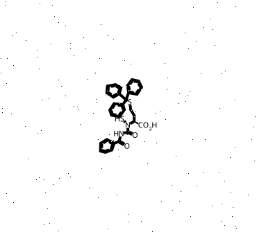 O=C(NC(=O)N(S)[C@@H](CCSC(c1ccccc1)(c1ccccc1)c1ccccc1)C(=O)O)c1ccccc1